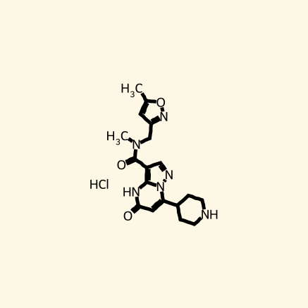 Cc1cc(CN(C)C(=O)c2cnn3c(C4CCNCC4)cc(=O)[nH]c23)no1.Cl